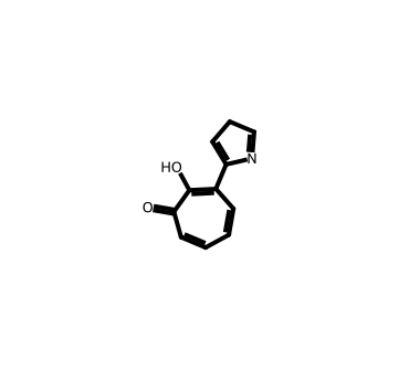 O=c1ccccc(C2=CCC=N2)c1O